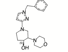 O[C@H]1CCN(c2ccn(Cc3ccccc3)n2)CC1N1CCOCC1